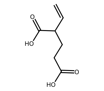 C=CC(CCC(=O)O)C(=O)O